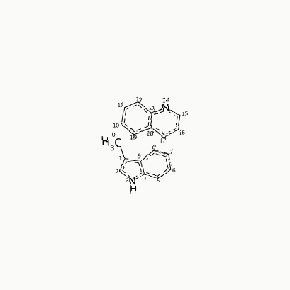 Cc1c[nH]c2ccccc12.c1ccc2ncccc2c1